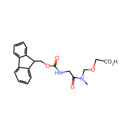 CN(COCC(=O)O)C(=O)CNC(=O)OCC1c2ccccc2-c2ccccc21